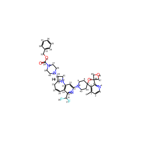 Cc1ccnc2c1C1(CCN(c3cc4c(c(C(F)F)n3)C=CC[C@H]3[C@H](N5CCN(C(=O)OCc6ccccc6)CC5)CN43)CC1)OC21COC1